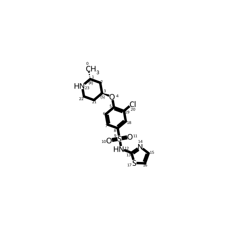 C[C@@H]1C[C@@H](Oc2ccc(S(=O)(=O)Nc3nccs3)cc2Cl)CCN1